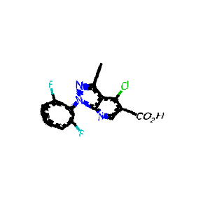 Cc1nn(-c2c(F)cccc2F)c2ncc(C(=O)O)c(Cl)c12